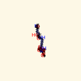 CCC(=O)OCC(C(C)OC)N(C)C(=O)C1(NC(=O)/C=C/C=C/C=C/C=C\CNC(=O)C(C)(C)C(O)\C(C)=C/C=C\C=C\Cc2cnc(C)o2)COCO1